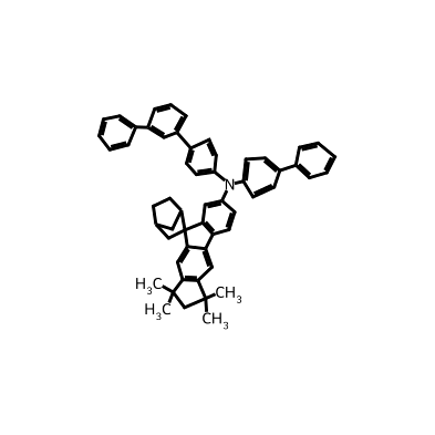 CC1(C)CC(C)(C)c2cc3c(cc21)-c1ccc(N(c2ccc(-c4ccccc4)cc2)c2ccc(-c4cccc(-c5ccccc5)c4)cc2)cc1C31CC2CCC1C2